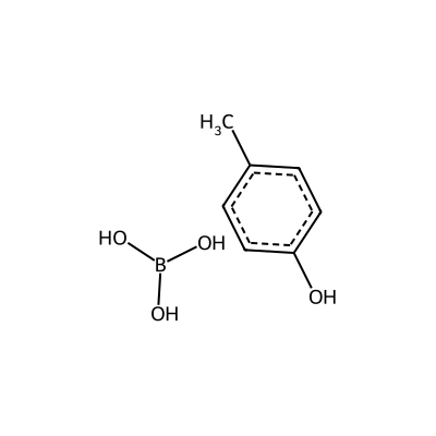 Cc1ccc(O)cc1.OB(O)O